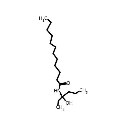 [CH2]CC(O)(CCC)NC(=O)CCCCCCCCCCC